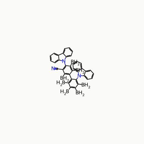 Bc1c(B)c(B)c(-n2c3ccccc3c3ccccc32)c(-c2c(B)c(B)c(-n3c4ccccc4c4ccccc43)c(C#N)c2B)c1B